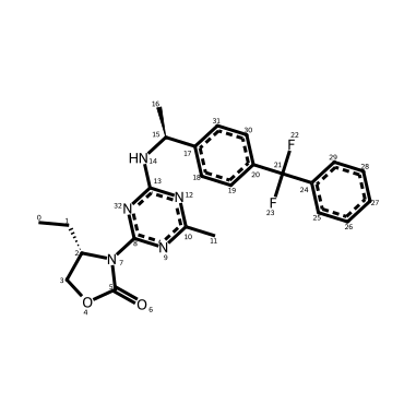 CC[C@H]1COC(=O)N1c1nc(C)nc(N[C@@H](C)c2ccc(C(F)(F)c3ccccc3)cc2)n1